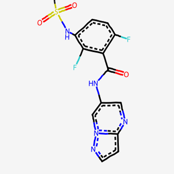 CCCS(=O)(=O)Nc1ccc(F)c(C(=O)Nc2cnc3ccnn3c2)c1F